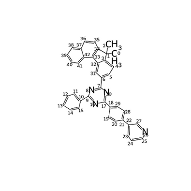 CC1(C)c2ccc(-c3nc(-c4ccccc4)nc(-c4ccc(-c5cccnc5)cc4)n3)cc2-c2c1ccc1ccccc21